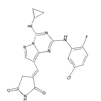 O=C1C/C(=C\c2cnn3c(NC4CC4)nc(Nc4cc(Cl)ccc4F)nc23)C(=O)N1